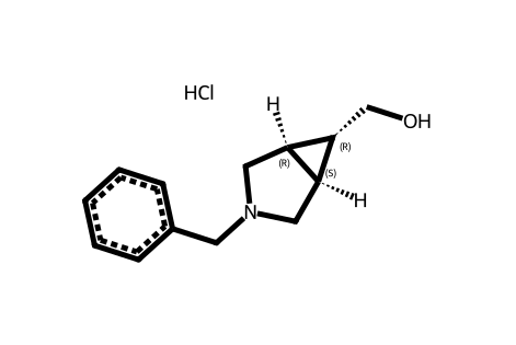 Cl.OC[C@@H]1[C@H]2CN(Cc3ccccc3)C[C@@H]12